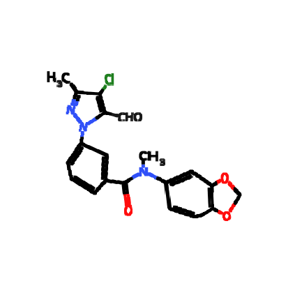 Cc1nn(-c2cccc(C(=O)N(C)c3ccc4c(c3)OCO4)c2)c(C=O)c1Cl